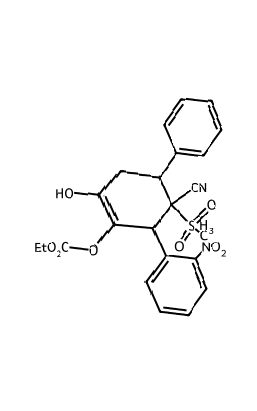 CCOC(=O)OC1=C(O)CC(c2ccccc2)C(C#N)(S(C)(=O)=O)C1c1ccccc1[N+](=O)[O-]